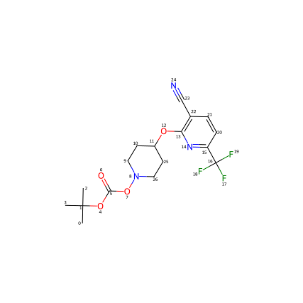 CC(C)(C)OC(=O)ON1CCC(Oc2nc(C(F)(F)F)ccc2C#N)CC1